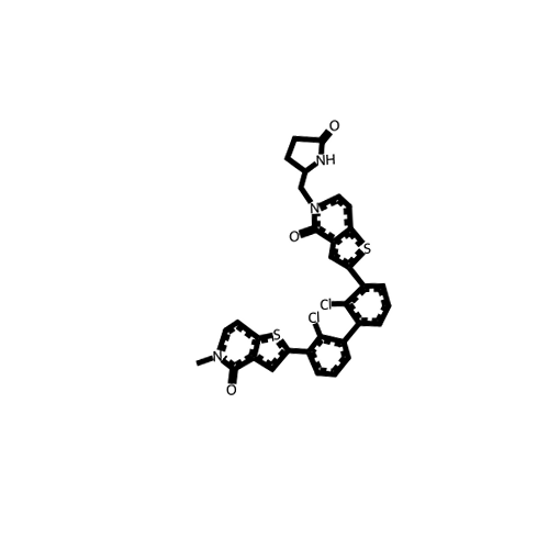 Cn1ccc2sc(-c3cccc(-c4cccc(-c5cc6c(=O)n(CC7CCC(=O)N7)ccc6s5)c4Cl)c3Cl)cc2c1=O